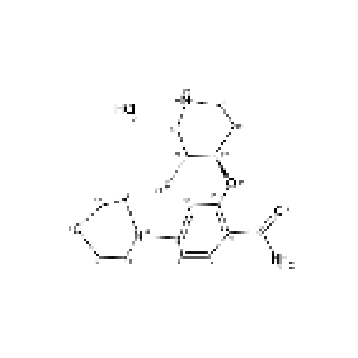 Cl.NC(=O)c1ccc(N2CCOCC2)cc1O[C@@H]1CCNC[C@H]1F